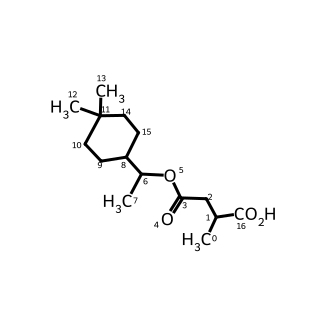 CC(CC(=O)OC(C)C1CCC(C)(C)CC1)C(=O)O